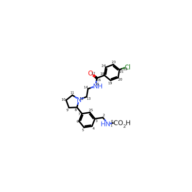 O=C(O)NCc1cccc(C2CCCN2CCNC(=O)c2ccc(Cl)cc2)c1